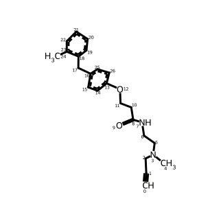 C#CCN(C)CCNC(=O)CCOc1ccc(Cc2ccccc2C)cc1